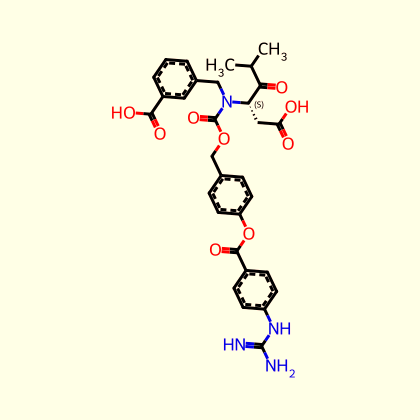 CC(C)C(=O)[C@H](CC(=O)O)N(Cc1cccc(C(=O)O)c1)C(=O)OCc1ccc(OC(=O)c2ccc(NC(=N)N)cc2)cc1